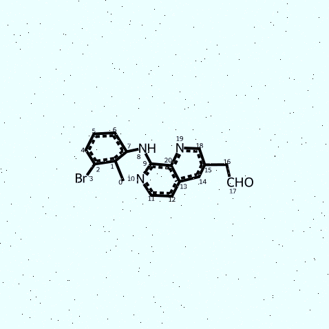 Cc1c(Br)cccc1Nc1nccc2cc(CC=O)cnc12